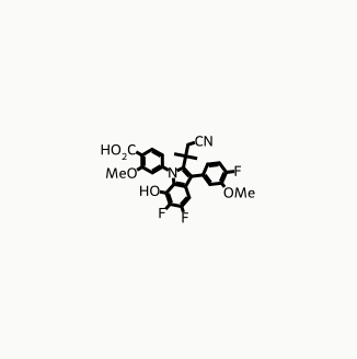 COc1cc(-c2c(C(C)(C)CC#N)n(-c3ccc(C(=O)O)c(OC)c3)c3c(O)c(F)c(F)cc23)ccc1F